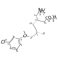 C[C@H](COc1cccc(Cl)c1)C[C@H](CN)CC(=O)O